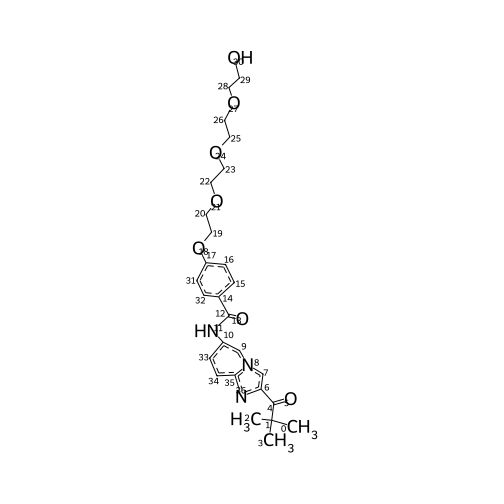 CC(C)(C)C(=O)c1cn2cc(NC(=O)c3ccc(OCCOCCOCCOCCO)cc3)ccc2n1